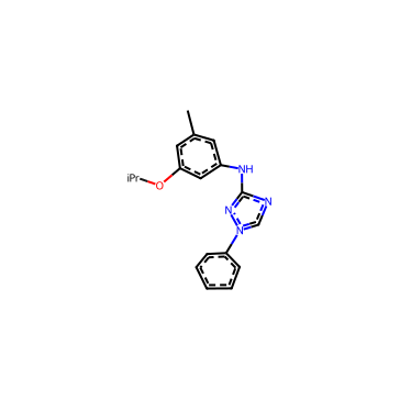 Cc1cc(Nc2ncn(-c3ccccc3)n2)cc(OC(C)C)c1